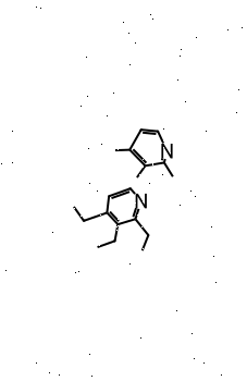 CCc1ccnc(CC)c1CC.Cc1ccnc(C)c1C